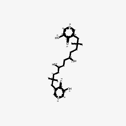 CC(C)(CCC(S)CCC(S)CCC(C)(C)Cc1cocc(O)c1=O)Cc1cocc(O)c1=O